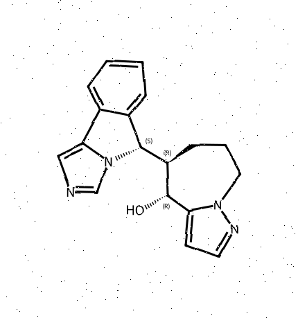 O[C@H]1c2ccnn2CCC[C@@H]1[C@H]1c2ccccc2-c2cncn21